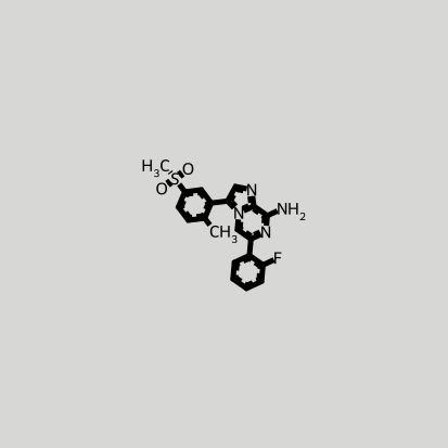 Cc1ccc(S(C)(=O)=O)cc1-c1cnc2c(N)nc(-c3ccccc3F)cn12